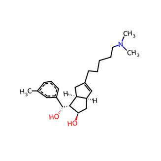 Cc1cccc([C@@H](O)[C@@H]2[C@H]3CC(CCCCCN(C)C)=C[C@H]3C[C@H]2O)c1